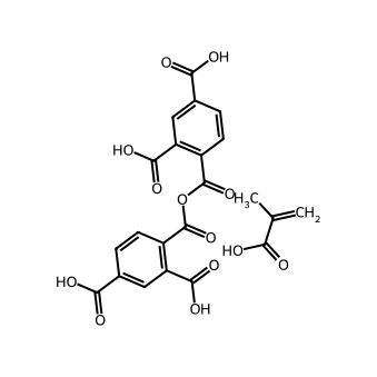 C=C(C)C(=O)O.O=C(O)c1ccc(C(=O)OC(=O)c2ccc(C(=O)O)cc2C(=O)O)c(C(=O)O)c1